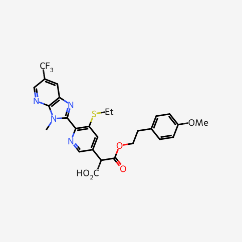 CCSc1cc(C(C(=O)O)C(=O)OCCc2ccc(OC)cc2)cnc1-c1nc2cc(C(F)(F)F)cnc2n1C